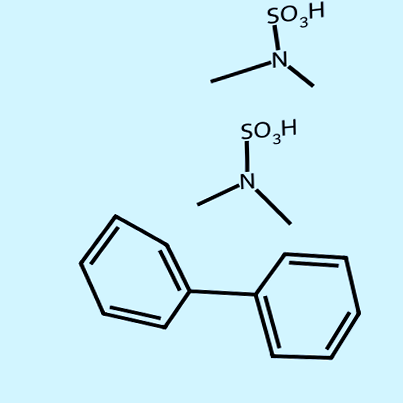 CN(C)S(=O)(=O)O.CN(C)S(=O)(=O)O.c1ccc(-c2ccccc2)cc1